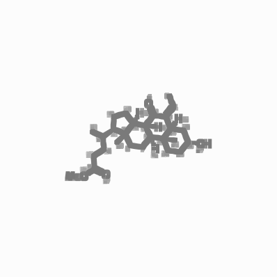 CC=C1C(=O)[C@@H]2[C@H](CC[C@]3(C)[C@@H](C(C)CCC(=O)OC)CC[C@@H]23)[C@@]2(C)CC[C@@H](O)C[C@@H]12